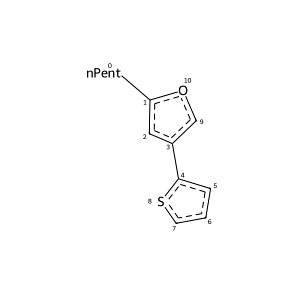 CCCCCc1cc(-c2cccs2)co1